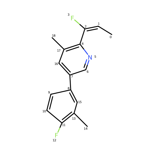 C/C=C(/F)c1ncc(-c2ccc(F)c(C)c2)cc1C